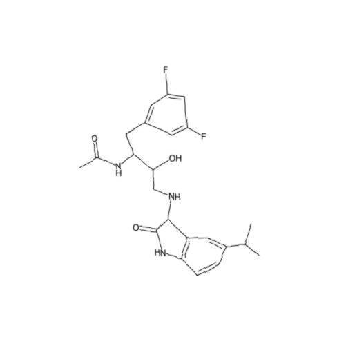 CC(=O)NC(Cc1cc(F)cc(F)c1)C(O)CNC1C(=O)Nc2ccc(C(C)C)cc21